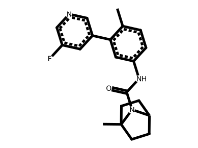 Cc1ccc(NC(=O)N2C3CCC2(C)CC3)cc1-c1cncc(F)c1